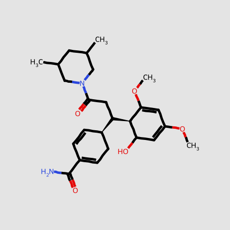 COC1=CC(O)[C@@H](C(CC(=O)N2CC(C)CC(C)C2)[C@@H]2C=CC(C(N)=O)=CC2)C(OC)=C1